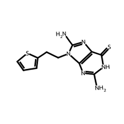 Nc1nc2c(nc(N)n2CCc2cccs2)c(=S)[nH]1